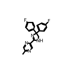 Cc1cnc(C2=NC(c3ccc(F)cc3)(c3ccc(F)cc3)CN2)cn1